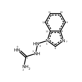 N=C(N)NNn1cnc2ccccc21